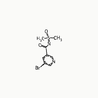 CS(C)(=O)=NC(=O)c1cncc(Br)c1